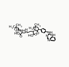 CC(C)CC(C(=O)NC(CCNCC(NC(=O)CC(C)(C)C)C(=O)O)C(=O)O)c1ccc(NC(=NC#N)Nc2ccccc2)cc1